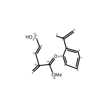 C=C(C)c1ccccc1.C=C(C=CC(=O)O)C(=O)OC